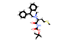 CSCC[C@@H](C(=O)NC(=O)OC(C)(C)C)N(C)CC(c1ccccc1)c1ccccc1